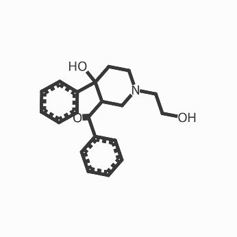 O=C(c1ccccc1)C1CN(CCO)CCC1(O)c1ccccc1